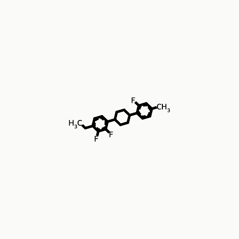 CCc1ccc(C2CCC(c3ccc(C)cc3F)CC2)c(F)c1F